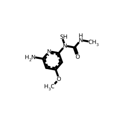 CNC(=O)N(S)c1cc(OC)cc(N)n1